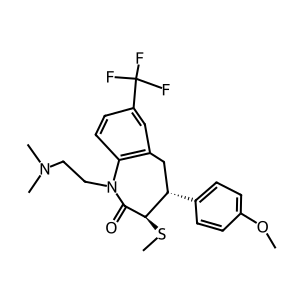 COc1ccc([C@H]2Cc3cc(C(F)(F)F)ccc3N(CCN(C)C)C(=O)[C@@H]2SC)cc1